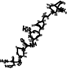 CC(N)(CO)C(=O)N1CCN(C(=O)Nc2ccn(-c3ccc(CCN4CCC5CC5(N)C4)cc3)c(=O)n2)CC1.Cl